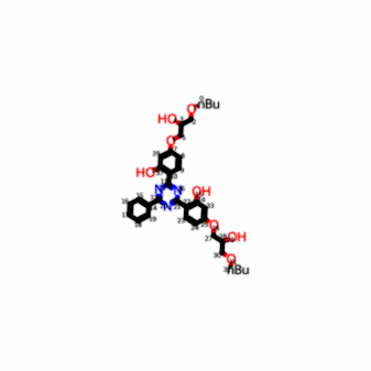 CCCCOCC(O)COc1ccc(-c2nc(-c3ccccc3)nc(-c3ccc(OCC(O)COCCCC)cc3O)n2)c(O)c1